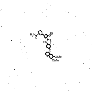 CCOc1cn(C2CCCN(C(N)=O)C2)nc1C(=O)Nc1ccc(Oc2ccnc3cc(OC)c(OC)cc23)cc1F